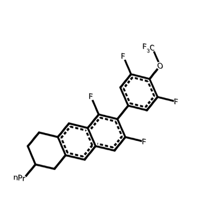 CCCC1CCc2cc3c(F)c(-c4cc(F)c(OC(F)(F)F)c(F)c4)c(F)cc3cc2C1